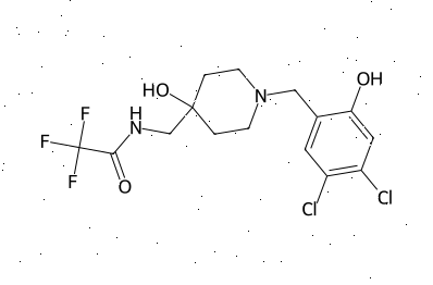 O=C(NCC1(O)CCN(Cc2cc(Cl)c(Cl)cc2O)CC1)C(F)(F)F